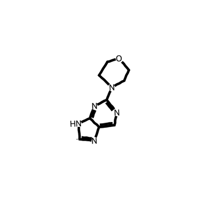 [c]1nc2cnc(N3CCOCC3)nc2[nH]1